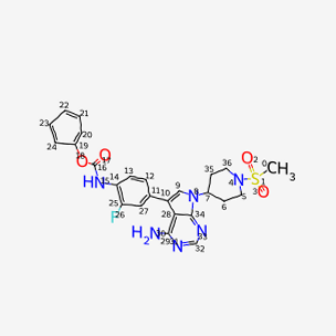 CS(=O)(=O)N1CCC(n2cc(-c3ccc(NC(=O)Oc4ccccc4)c(F)c3)c3c(N)ncnc32)CC1